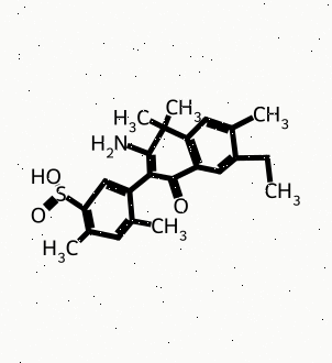 CCc1cc2c(cc1C)C(C)(C)C(N)=C(c1cc(S(=O)O)c(C)cc1C)C2=O